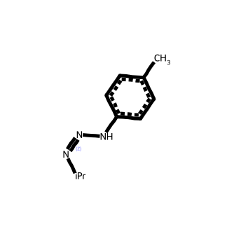 Cc1ccc(N/N=N\C(C)C)cc1